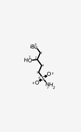 CCC(C)CC(O)CCS(N)(=O)=O